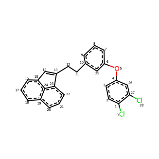 Clc1ccc(Oc2cccc(CCC3=Cc4cccc5cccc3c45)c2)cc1Cl